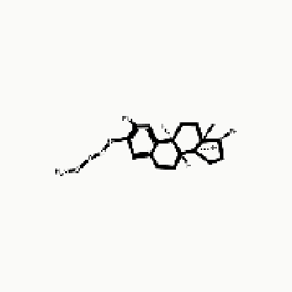 CCc1cc2c(cc1OSOON)CC[C@@H]1[C@@H]2CC[C@]2(C)[C@@H](CC)CC[C@@H]12